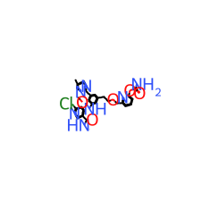 CNC(=O)c1cnc(Cl)cc1Nc1cc(CCOCc2cccc(OC(N)=O)n2)cc(-c2ncc(C)cn2)c1OC